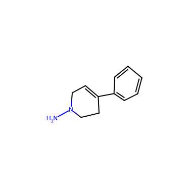 NN1CC=C(c2ccccc2)CC1